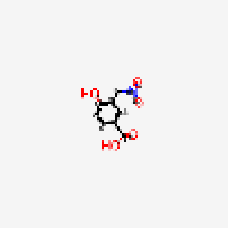 O=C(O)c1ccc(O)c(C[N+](=O)[O-])c1